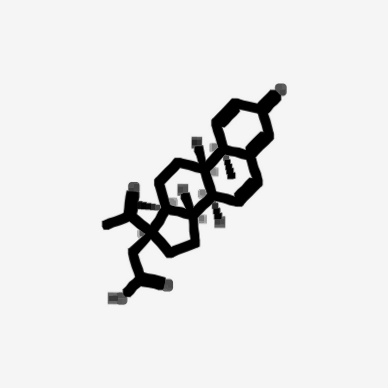 CC(=O)[C@@]1(CC(=O)O)CC[C@H]2[C@@H]3C=CC4=CC(=O)C=C[C@]4(C)[C@H]3CC[C@@]21C